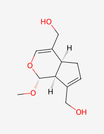 CO[C@@H]1OC=C(CO)[C@H]2CC=C(CO)[C@@H]12